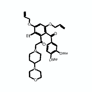 C=CCOc1cc(OCC=C)c(C(=O)c2ccc(OC)c(OC)c2)c(C(=O)CN2CCC(N3CCOCC3)CC2)c1CC